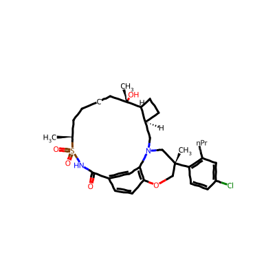 CCCc1cc(Cl)ccc1[C@]1(C)COc2ccc3cc2N(C[C@@H]2CC[C@H]2[C@@](C)(O)CCCC[C@H](C)S(=O)(=O)NC3=O)C1